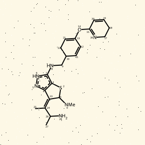 CNC1Sc2c(n[nH]c2NCC2C=CC(OC3=NCCC=C3)=CC2)/C1=C(\C)C(C)N